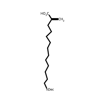 C=C(CCCCCCCCCCCCCCCCCCCCC)C(=O)O